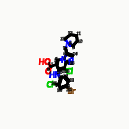 O=C(O)c1cn2c(CN3CCCCC3)cnc2c(Cl)c1Nc1ccc(Br)cc1Cl